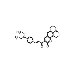 CCN(CC)c1ccc(C=CC(=O)c2cc3cc4c5c(c3oc2=O)CCCN5CCC4)cc1